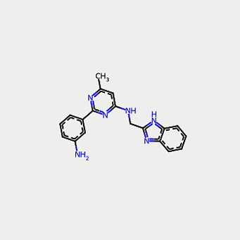 Cc1cc(NCc2nc3ccccc3[nH]2)nc(-c2cccc(N)c2)n1